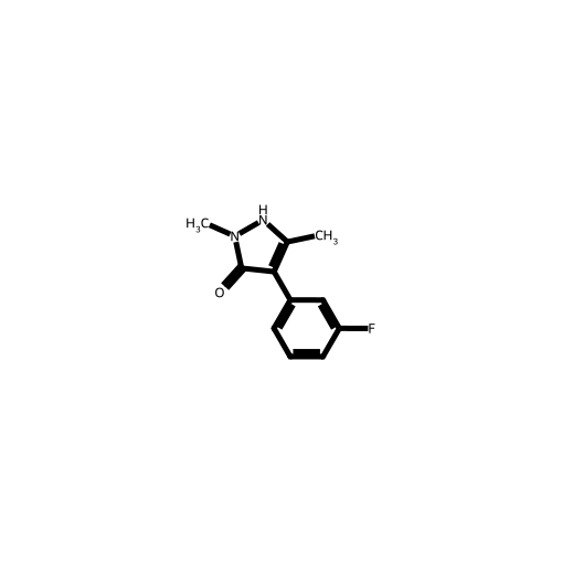 Cc1[nH]n(C)c(=O)c1-c1cccc(F)c1